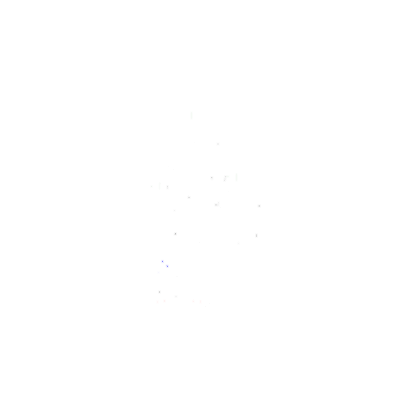 NC(Cc1ccc(-c2c(Cl)cc(F)cc2Cl)c2c1C=CCO2)C(=O)O